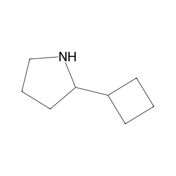 C1CC(C2CCCN2)C1